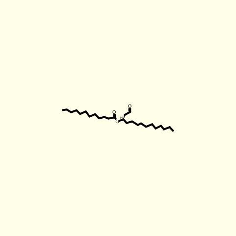 CCCCCCCCCCCC(=O)O[C@@H](CC=O)CCCCCCCCCCC